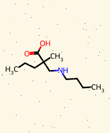 CCCCNCC(C)(CCC)C(=O)O